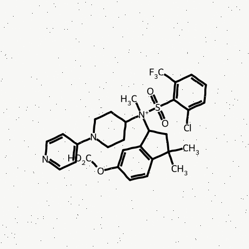 CC1(C)CC([N+](C)(C2CCN(c3ccncc3)CC2)S(=O)(=O)c2c(Cl)cccc2C(F)(F)F)c2cc(OC(=O)O)ccc21